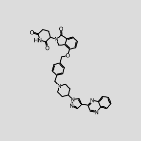 O=C1CCC(N2Cc3c(OCc4ccc(CN5CCC(n6cc(-c7cnc8ccccc8n7)cn6)CC5)cc4)cccc3C2=O)C(=O)N1